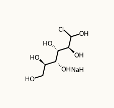 OC[C@@H](O)[C@@H](O)[C@H](O)[C@H](O)C(O)Cl.[NaH]